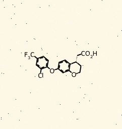 O=C(O)C[C@@H]1CCOc2cc(Oc3ccc(C(F)(F)F)cc3Cl)ccc21